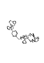 O=C(NCc1ccc([S+]([O-])[C@H]2CCOC2)cc1)c1cnc2nccn2c1